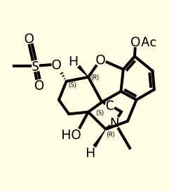 CC(=O)Oc1ccc2c3c1O[C@H]1[C@@H](OS(C)(=O)=O)CCC4(O)[C@@H](C2)N(C)CC[C@]314